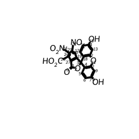 O=C1OC2(c3ccc(O)cc3Oc3cc(O)ccc32)c2cc([N+](=O)[O-])c([N+](=O)[O-])c(C(=O)O)c21